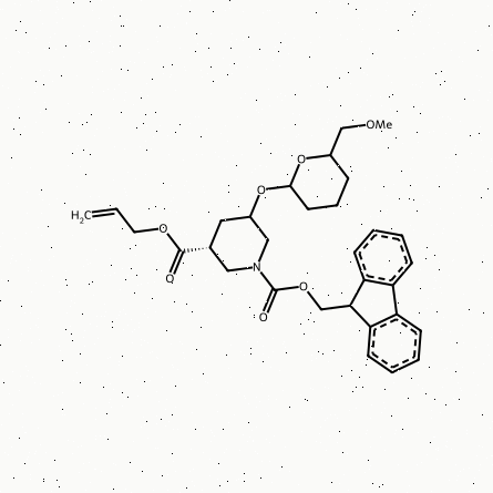 C=CCOC(=O)[C@@H]1CC(OC2CCCC(COC)O2)CN(C(=O)OCC2c3ccccc3-c3ccccc32)C1